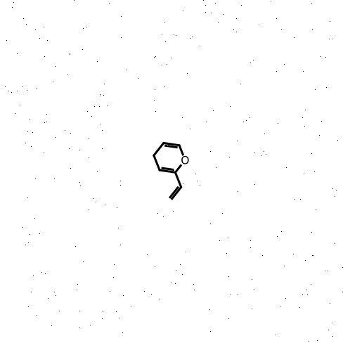 C=CC1=CCC=CO1